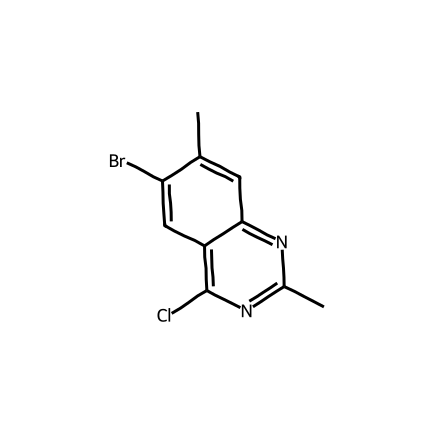 Cc1nc(Cl)c2cc(Br)c(C)cc2n1